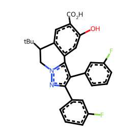 CC(C)(C)C1Cn2nc(-c3cccc(F)c3)c(-c3cccc(F)c3)c2-c2cc(O)c(C(=O)O)cc21